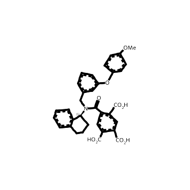 COc1ccc(Oc2cccc(CN(C(=O)c3cc(C(=O)O)c(C(=O)O)cc3C(=O)O)[C@H]3CCCc4ccccc43)c2)cc1